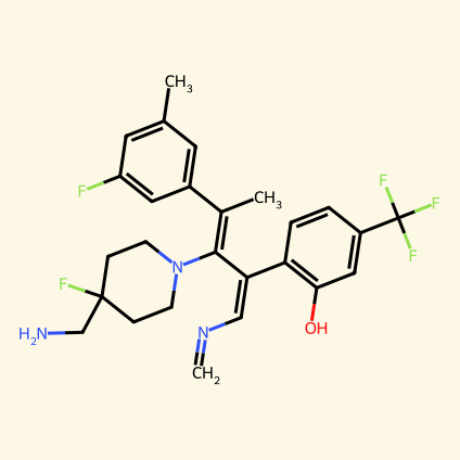 C=N/C=C(\C(=C(/C)c1cc(C)cc(F)c1)N1CCC(F)(CN)CC1)c1ccc(C(F)(F)F)cc1O